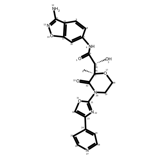 C[C@]1([C@@H](O)C(=O)Nc2ccc3c(N)noc3c2)OCCN(c2nc(-c3ccncc3)co2)C1=O